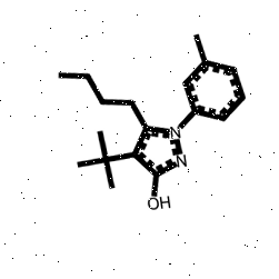 CCCCc1c(C(C)(C)C)c(O)nn1-c1cccc(C)c1